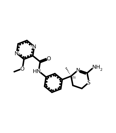 COc1nccnc1C(=O)Nc1cccc([C@]2(C)CCSC(N)=N2)c1